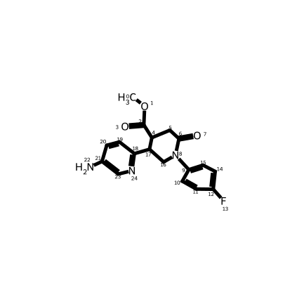 COC(=O)C1CC(=O)N(c2ccc(F)cc2)CC1c1ccc(N)cn1